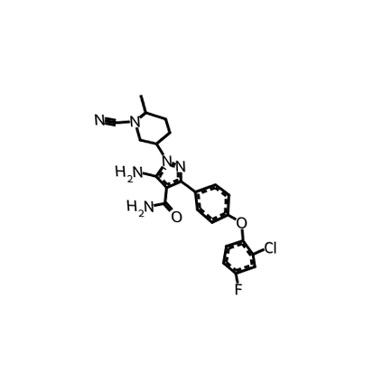 CC1CCC(n2nc(-c3ccc(Oc4ccc(F)cc4Cl)cc3)c(C(N)=O)c2N)CN1C#N